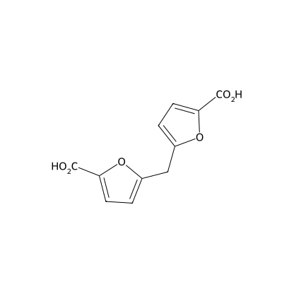 O=C(O)c1ccc(Cc2ccc(C(=O)O)o2)o1